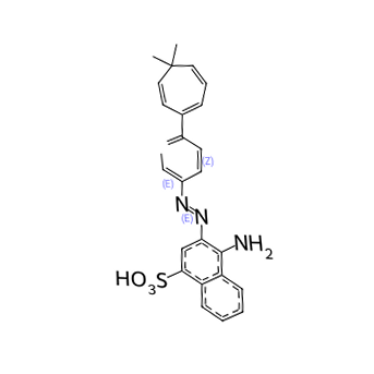 C=C(\C=C/C(=C\C)/N=N/c1cc(S(=O)(=O)O)c2ccccc2c1N)C1=CC=CC(C)(C)C=C1